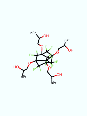 CCCC(O)COC12C(F)(F)C3(OCC(O)CCC)C(F)(F)C(OCC(O)CCC)(C1(F)F)C(F)(F)C(OCC(O)CCC)(C2(F)F)C3(F)F